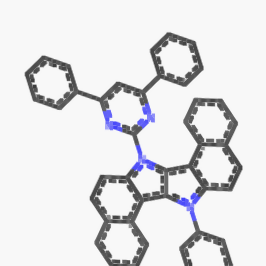 c1ccc(-c2cc(-c3ccccc3)nc(-n3c4ccc5ccccc5c4c4c3c3c5ccccc5ccc3n4-c3ccccc3)n2)cc1